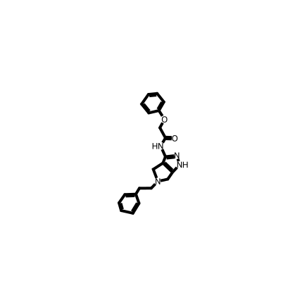 O=C(COc1ccccc1)Nc1n[nH]c2c1CN(CCc1ccccc1)C2